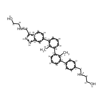 Cc1c(-c2ccc(CNCCO)cc2)cccc1-c1cccc(-c2ccn3c(CNCCO)nnc3c2)c1C